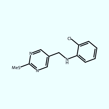 CSc1ncc(CNc2ccccc2Cl)cn1